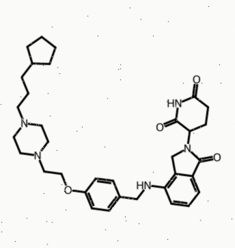 O=C1CCC(N2Cc3c(NCc4ccc(OCCN5CCN(CCCC6CCCC6)CC5)cc4)cccc3C2=O)C(=O)N1